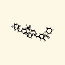 Cc1cc(Cc2nccn3c(-c4cn(CC5=CN=CNC5)nc4C(F)(F)F)cnc23)ccc1C(=O)N1CCCCC1